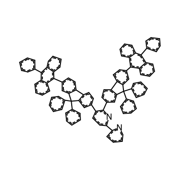 c1ccc(-c2c3ccccc3c(-c3ccc4c(c3)C(c3ccccc3)(c3ccccc3)c3cc(-c5ccc(-c6ccccn6)nc5-c5ccc6c(c5)C(c5ccccc5)(c5ccccc5)c5cc(-c7c8ccccc8c(-c8ccccc8)c8ccccc78)ccc5-6)ccc3-4)c3ccccc23)cc1